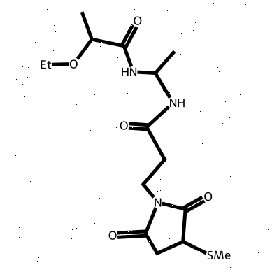 CCOC(C)C(=O)NC(C)NC(=O)CCN1C(=O)CC(SC)C1=O